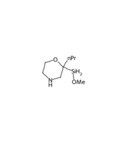 CCCC1([SiH2]OC)CNCCO1